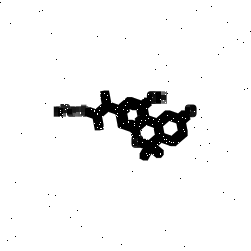 CCCCCC(C)C(C)c1cc(O)c2c(c1)OC(C)(C)C1CCC(=O)CC21